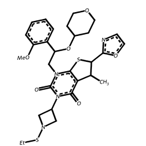 CCSN1CC(n2c(=O)c3c(n(CC(OC4CCOCC4)c4ccccc4OC)c2=O)SC(c2ncco2)C3C)C1